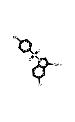 COc1cn(S(=O)(=O)c2ccc(Br)cc2)c2ccc(Br)cc12